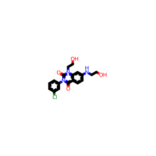 O=c1c2ccc(NCCO)cc2n(CCO)c(=O)n1-c1cccc(Cl)c1